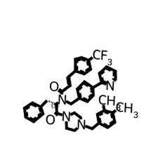 Cc1ccc(CN2CCN(C(=O)[C@H](Cc3ccccc3)N(Cc3ccc(-c4ccccn4)cc3)C(=O)C=Cc3ccc(C(F)(F)F)cc3)CC2)cc1C